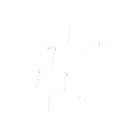 Cc1cnc(NC(C)CO)nc1C(C)(C)C